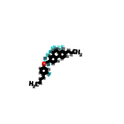 C=CCCc1ccc(OC(F)(F)c2ccc3c(c2F)C(F)(F)C(F)(F)c2c-3ccc(CCC)c2F)cc1F